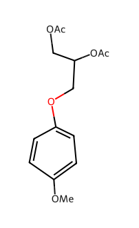 COc1ccc(OCC(COC(C)=O)OC(C)=O)cc1